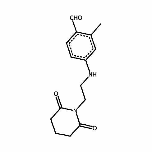 Cc1cc(NCCN2C(=O)CCCC2=O)ccc1C=O